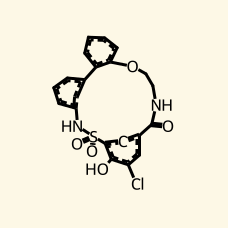 O=C1NCCOc2ccccc2-c2cccc(c2)NS(=O)(=O)c2cc1cc(Cl)c2O